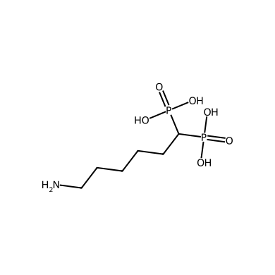 NCCCCCC(P(=O)(O)O)P(=O)(O)O